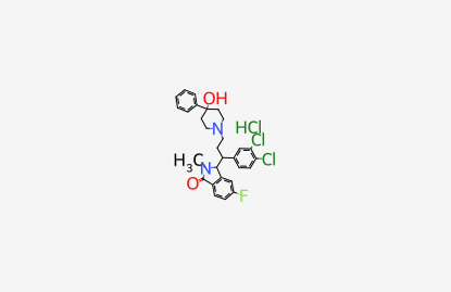 CN1C(=O)c2ccc(F)cc2C1C(CCN1CCC(O)(c2ccccc2)CC1)c1ccc(Cl)c(Cl)c1.Cl